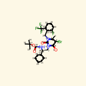 Cc1c(Br)c(=O)n(C[C@H](NC(=O)OC(C)(C)C)c2ccccc2)c(=O)n1Cc1c(F)cccc1C(F)(F)F